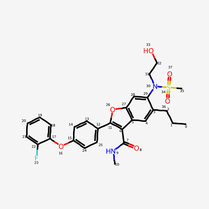 CCCc1cc2c(C(=O)NC)c(-c3ccc(Oc4ccccc4F)cc3)oc2cc1N(CCO)S(C)(=O)=O